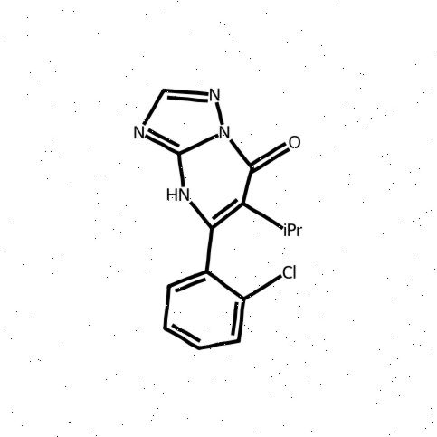 CC(C)c1c(-c2ccccc2Cl)[nH]c2ncnn2c1=O